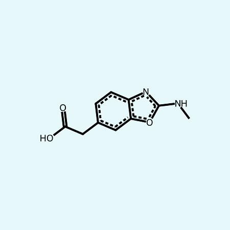 CNc1nc2ccc(CC(=O)O)cc2o1